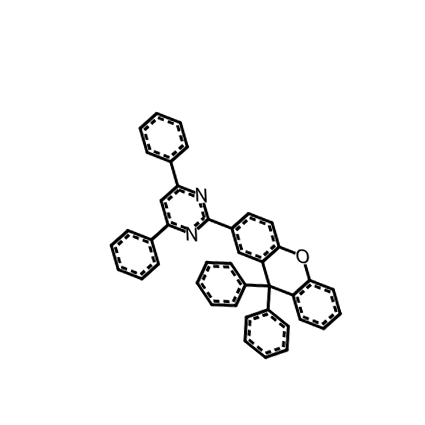 c1ccc(-c2cc(-c3ccccc3)nc(-c3ccc4c(c3)C(c3ccccc3)(c3ccccc3)c3ccccc3O4)n2)cc1